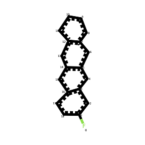 Fc1[c]c2cc3cc4ccccc4cc3cc2cc1